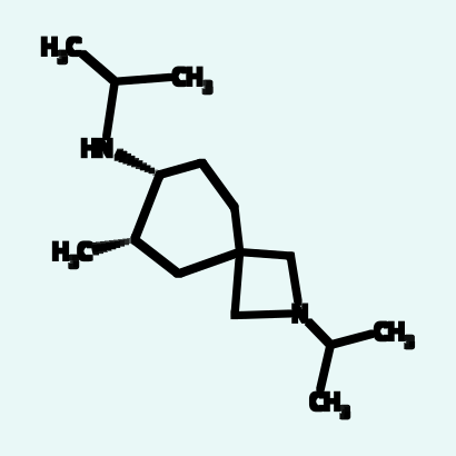 CC(C)N[C@@H]1CCC2(C[C@@H]1C)CN(C(C)C)C2